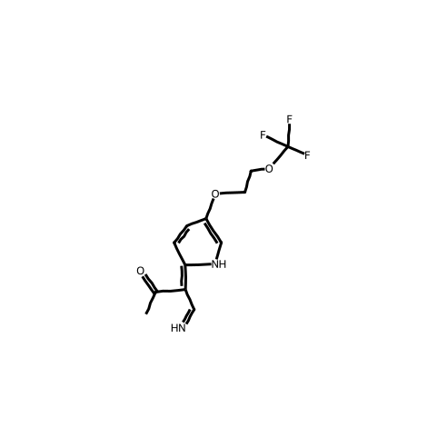 CC(=O)/C(C=N)=C1\C=CC(OCCOC(F)(F)F)=CN1